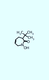 CC(C)(C)C1CC=CCN(O)C1=O